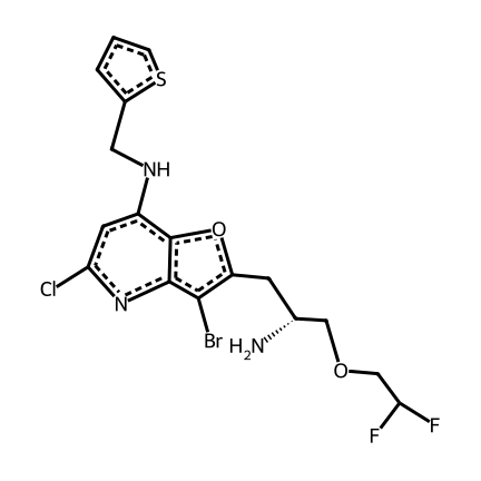 N[C@@H](COCC(F)F)Cc1oc2c(NCc3cccs3)cc(Cl)nc2c1Br